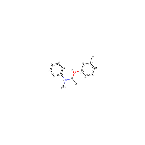 CCN(c1ccccc1)C(C)Oc1cccc(C)c1